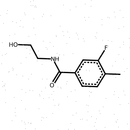 Cc1ccc(C(=O)NCCO)cc1F